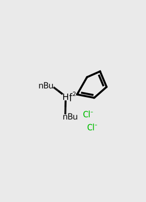 CCC[CH2][Hf+2]([CH2]CCC)[C]1=CC=CC1.[Cl-].[Cl-]